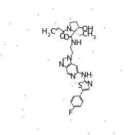 C=CC(=O)N1CC[C@@H](O)[C@@]1(CC)C(=O)NCCn1cnc2cnc(Nc3ncc(-c4ccc(F)cc4)s3)cc21